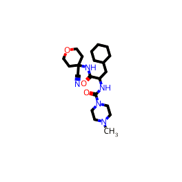 CN1CCN(C(=O)NC(CC2CCCCC2)C(=O)NC2(C#N)CCOCC2)CC1